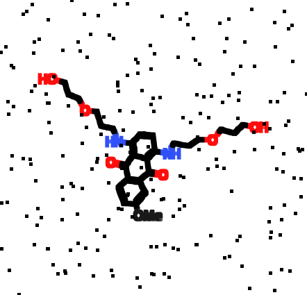 COc1ccc2c(c1)C(=O)c1c(NCCCOCCCO)ccc(NCCCOCCCO)c1C2=O